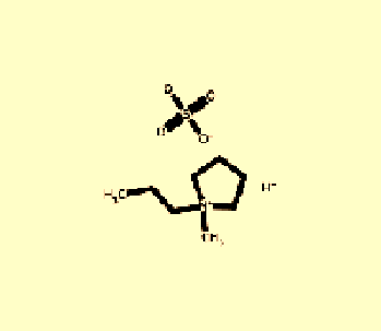 CCC[N+]1(C)CCCC1.O=S(=O)([O-])[O-].[H+]